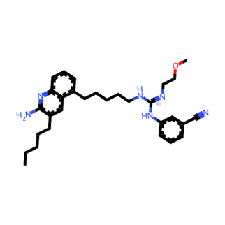 CCCCCc1cc2c(CCCCCN/C(=N\CCOC)Nc3cccc(C#N)c3)cccc2nc1N